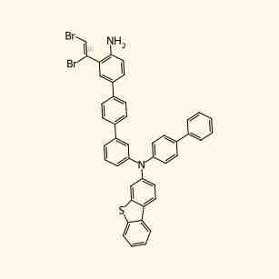 Nc1ccc(-c2ccc(-c3cccc(N(c4ccc(-c5ccccc5)cc4)c4ccc5c(c4)sc4ccccc45)c3)cc2)cc1/C(Br)=C/Br